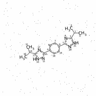 CC(C)c1nc(-c2ccc(-c3n[nH]c(C(C)C)n3)cc2)n[nH]1